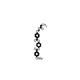 C=CC(=O)OCOc1ccc(C(=O)OC2CCC(OC(=O)c3ccc(OC)cc3)CC2)cc1